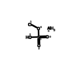 O=S(=O)(O)OCl.[AlH3]